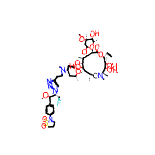 CC[C@H]1OC(=O)[C@H](C)[C@@H](O[C@H]2C[C@@](C)(OC)[C@@H](O)[C@H](C)O2)[C@H](C)[C@@H](O[C@H]2C[C@@H](N(C)CCc3cn([C@H](CF)[C@H](OC)c4ccc(N5CCCS5(=O)=O)cc4)nn3)C[C@@H](C)O2)[C@](C)(O)C[C@@H](C)CN(C)[C@H](C)[C@@H](O)[C@]1(C)O